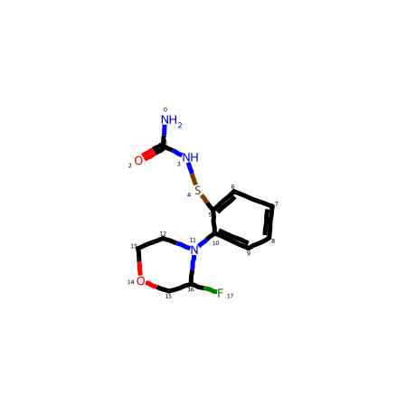 NC(=O)NSc1ccccc1N1CCOCC1F